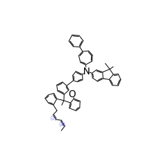 C/C=C\C=C/Cc1ccccc1C1(C)c2ccccc2Oc2c(-c3ccc(N(C4=CC=C(c5ccccc5)C=C=C4)c4ccc5c(c4)C(C)(C)c4ccccc4-5)cc3)cccc21